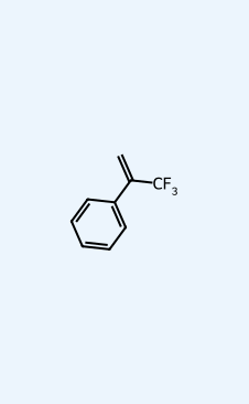 C=C(c1ccccc1)C(F)(F)F